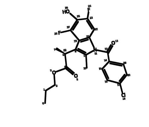 CCCOC(=O)[C@@H](C)c1c(C)n(C(=O)c2ccc(Cl)cc2)c2cc(F)c(O)c(F)c12